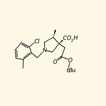 Cc1cccc(Cl)c1CN1C[C@@H](C)[C@@](CC(=O)OC(C)(C)C)(C(=O)O)C1